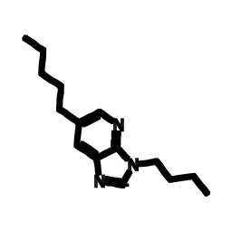 CCCCCc1cnc2c(c1)n[c]n2CCCC